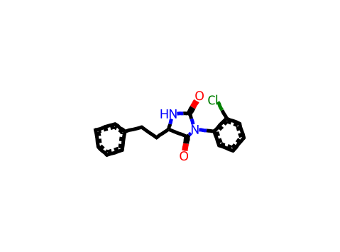 O=C1NC(CCc2ccccc2)C(=O)N1c1ccccc1Cl